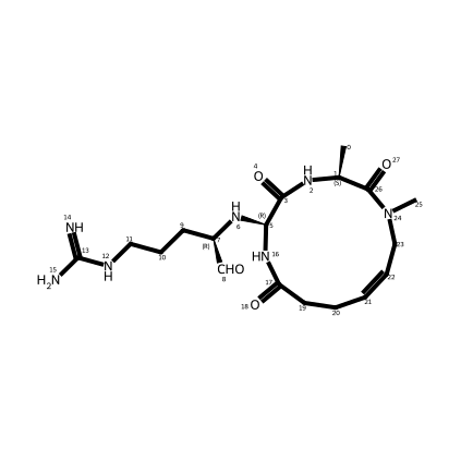 C[C@@H]1NC(=O)[C@H](N[C@@H](C=O)CCCNC(=N)N)NC(=O)CCC=CCN(C)C1=O